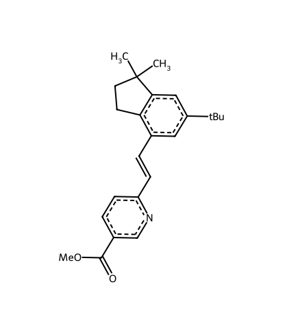 COC(=O)c1ccc(C=Cc2cc(C(C)(C)C)cc3c2CCC3(C)C)nc1